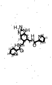 Nc1nc2c([nH]1)CC(CNC(=O)c1ccccn1)C(CNC(=O)c1ccccn1)C2